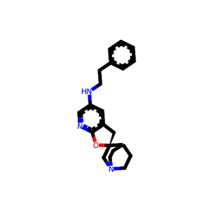 c1ccc(CCNc2cnc3c(c2)C[C@@]2(CN4CCC2CC4)O3)cc1